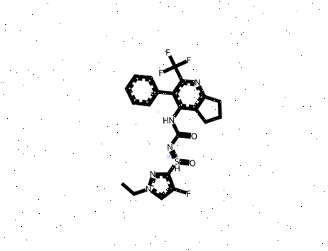 CCn1cc(F)c(/[SH](=O)=N/C(=O)Nc2c3c(nc(C(F)(F)F)c2-c2ccccc2)CCC3)n1